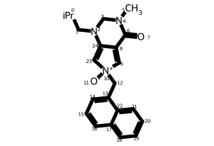 CC(C)CN1CN(C)C(=O)C2=C[N+]([O-])(Cc3cccc4ccccc34)C=C21